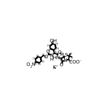 CC1(C)S[C@@H]2[C@H](NC(=O)C(NC(=O)OCc3ccc([N+](=O)[O-])cc3)c3ccc(O)cc3)C(=O)N2[C@H]1C(=O)[O-].[K+]